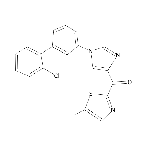 Cc1cnc(C(=O)c2cn(-c3cccc(-c4ccccc4Cl)c3)cn2)s1